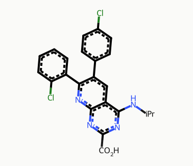 CC(C)Nc1nc(C(=O)O)nc2nc(-c3ccccc3Cl)c(-c3ccc(Cl)cc3)cc12